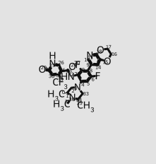 C[C@@H]1CN(c2cc(F)c(-c3cnc4c(c3)OCCO4)c(F)c2NC(=O)c2c[nH]c(=O)cc2C(F)(F)F)C[C@H](C)N1C